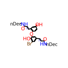 CCCCCCCCCCNC(=O)/C=C/c1cc(Br)c(O)c(Oc2ccc(O)cc2/C=C/C(=O)NCCCCCCCCCC)c1